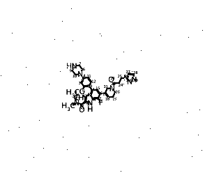 COc1cc(N2CCNCC2)ccc1-c1cc(C2=CCCN(C(=O)CCn3ccnn3)C2)c(F)c2[nH]c(C(=O)N(C)C)cc12